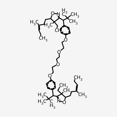 CC/C=C(/C)CCC1ON=C(C(c2ccc(OCCOCCOCCOc3ccc(C(C4=NOC(CC/C(C)=C\CC)C4(C)CC)C(C)(C)C)cc3)cc2)C(C)(C)C)C1(C)CC